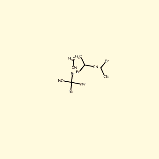 CC#N.CC(Br)C#N.CCCC(Br)(Br)C#N.N#CCBr